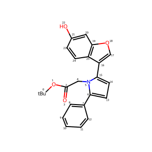 CC(C)(C)OC(=O)Cn1c(-c2ccccc2)ccc1-c1coc2cc(O)ccc12